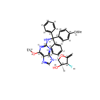 C=C1O[C@@H](n2cnc3c(OCC)nc(NC(c4ccccc4)(c4ccccc4)c4ccc(OC)cc4)nc32)[C@](C)(O)[C@@H]1F